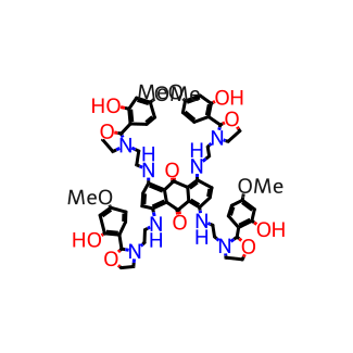 COc1ccc(C2OCCN2CCNc2ccc(NCCN3CCOC3c3ccc(OC)cc3O)c3c2C(=O)c2c(NCCN4CCOC4c4ccc(OC)cc4O)ccc(NCCN4CCOC4c4ccc(OC)cc4O)c2C3=O)c(O)c1